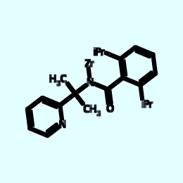 CC(C)c1cccc(C(C)C)c1C(=O)[N]([Zr])C(C)(C)c1ccccn1